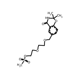 CC1(C)NC(=O)c2cc(COCCOCCOS(C)(=O)=O)ccc2O1